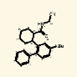 CC(C)(C)c1ccc(-c2ccccc2)c(C2CCCCC2C(=O)NCC#N)c1